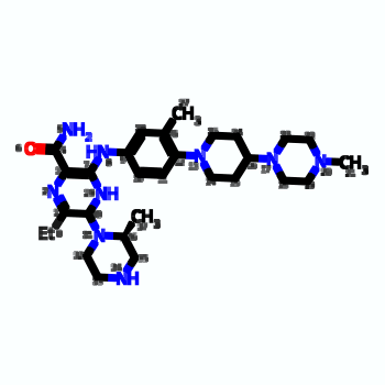 CCC1=NC(C(N)=O)=C(Nc2ccc(N3CCC(N4CCN(C)CC4)CC3)c(C)c2)NC1N1CCNC[C@@H]1C